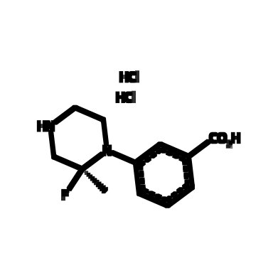 C[C@]1(F)CNCCN1c1cccc(C(=O)O)c1.Cl.Cl